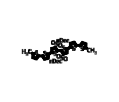 CCCCCCCCCCS(=O)(=O)c1cc(-c2ccc(-c3ccc(C)s3)s2)sc1-c1sc(-c2ccc(-c3ccc(C)s3)s2)cc1S(=O)(=O)CCCCCCCCCC